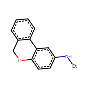 CCNc1ccc2c(c1)-c1ccccc1CO2